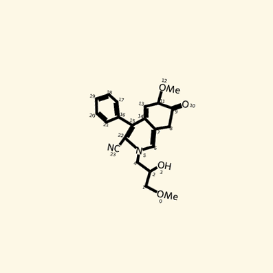 COCC(O)CN1C=C2CC(=O)C(OC)C=C2C(c2ccccc2)=C1C#N